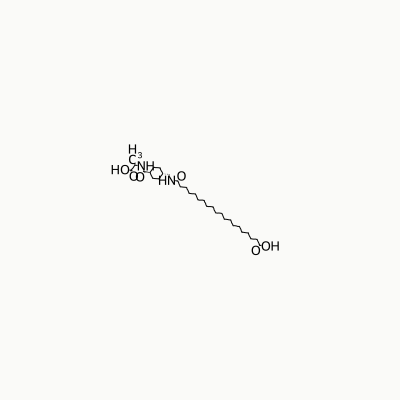 C[C@@H](NC(=O)[C@H]1CC[C@H](CNC(=O)CCCCCCCCCCCCCCCCCCC(=O)O)CC1)C(=O)O